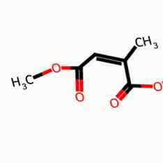 COC(=O)C=C(C)C(=O)O